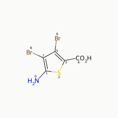 Nc1sc(C(=O)O)c(Br)c1Br